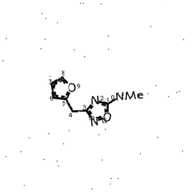 CNc1nc(Cc2ccco2)no1